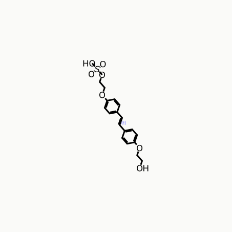 O=S(=O)(O)OCCOc1ccc(/C=C/c2ccc(OCCO)cc2)cc1